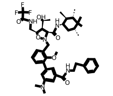 COc1c(CN2O[C@@H](CNC(=O)C(F)(F)F)[C@@H]([C@H](C)O)[C@H]2C(=O)N[C@H]2C[C@@H](C)C(C)(C)[C@@H](C)[C@@H]2C)cccc1-c1cc(C(=O)NCCc2ccccc2)cc(N(C)C)c1